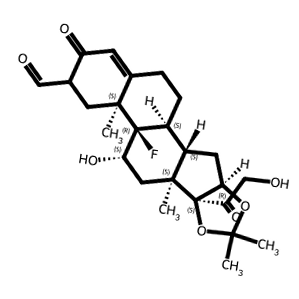 CC1(C)O[C@@H]2C[C@H]3[C@@H]4CCC5=CC(=O)C(C=O)C[C@]5(C)[C@@]4(F)[C@@H](O)C[C@]3(C)[C@]2(C(=O)CO)O1